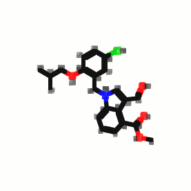 COC(=O)c1cccc2c1c(C=O)cn2Cc1cc(Cl)ccc1OCC(C)C